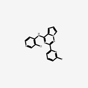 Fc1cccc(-c2nc(Nc3ccncc3Cl)c3cccn3n2)n1